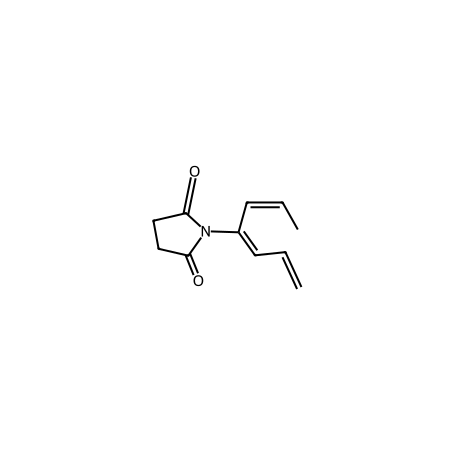 C=C/C=C(\C=C/C)N1C(=O)CCC1=O